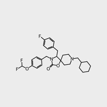 O=C1OC2(CCN(CC3CCCCC3)CC2)C(Cc2ccc(F)cc2)N1Cc1ccc(OC(F)F)cc1